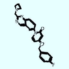 O=c1cc(OCc2ccc(F)cc2)ccn1-c1ccc2nc(CN3CCC3)ncc2c1